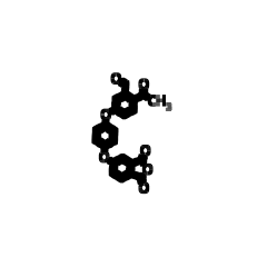 CC(=O)c1ccc(Oc2ccc(Oc3ccc4c(c3)C(=O)OC4=O)cc2)cc1C=O